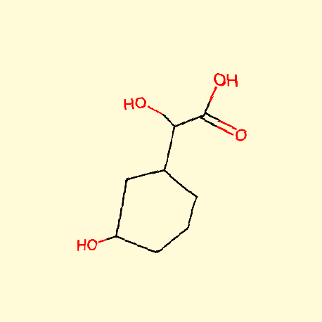 O=C(O)C(O)C1CCCC(O)C1